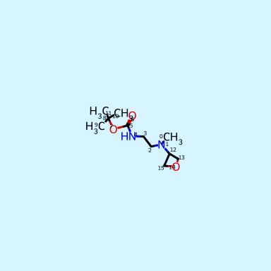 CN(CCNC(=O)OC(C)(C)C)C1COC1